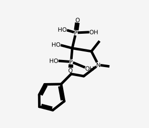 CC(N(C)CCc1ccccc1)C(O)(P(=O)(O)O)P(=O)(O)O